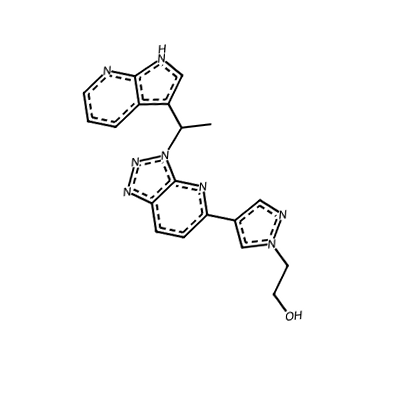 CC(c1c[nH]c2ncccc12)n1nnc2ccc(-c3cnn(CCO)c3)nc21